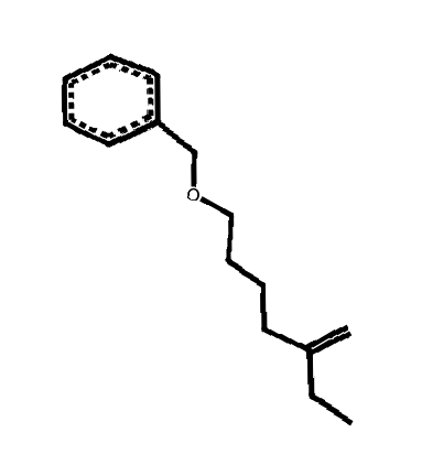 C=C(CC)CCCCOCc1ccccc1